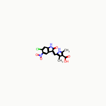 Cc1[nH]c(/C=C2\C(=O)Nc3cc(Cl)c([N+](=O)[O-])cc32)c(C)c1C(=O)O